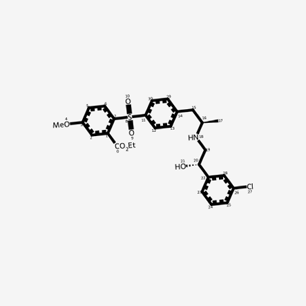 CCOC(=O)c1cc(OC)ccc1S(=O)(=O)c1ccc(C[C@@H](C)NC[C@@H](O)c2cccc(Cl)c2)cc1